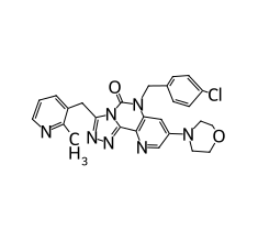 Cc1ncccc1Cc1nnc2c3ncc(N4CCOCC4)cc3n(Cc3ccc(Cl)cc3)c(=O)n12